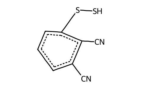 N#Cc1cccc(SS)c1C#N